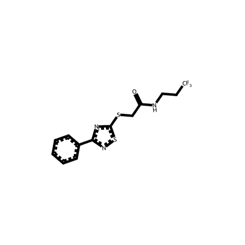 O=C(CSc1nc(-c2ccccc2)ns1)NCCC(F)(F)F